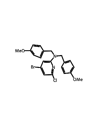 COc1ccc(CN(Cc2ccc(OC)cc2)c2cc(Br)cc(Cl)n2)cc1